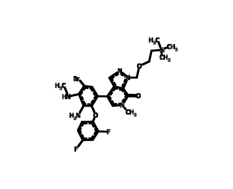 CNc1c(Br)cc(-c2cn(C)c(=O)c3c2cnn3COCC[Si](C)(C)C)c(Oc2ccc(F)cc2F)c1N